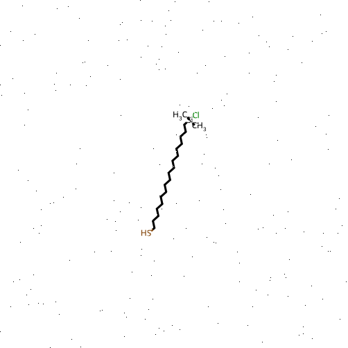 C[Si](C)(Cl)CCCCCCCCCCCCCCCCCCS